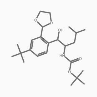 CC(C)CC(NC(=O)OC(C)(C)C)C(O)c1ccc(C(C)(C)C)cc1C1OCCO1